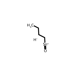 CCC[CH2][Sn+]=[O].[H-]